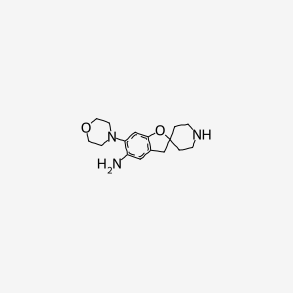 Nc1cc2c(cc1N1CCOCC1)OC1(CCNCC1)C2